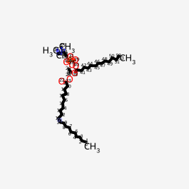 CCCCCCCCCC/C=C\CCCCCCCCCC(=O)OC[C@H](COP(=O)([O-])OCC[N+](C)(C)C)OC(=O)CCCCCCCCCCCCC